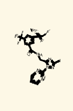 O=C(NCc1nc(I)nn1-c1ncccn1)c1cc(C(F)(F)F)cc(C(F)(F)F)c1